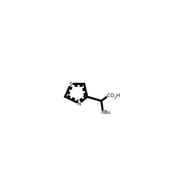 CCCCC(C(=O)O)c1cscn1